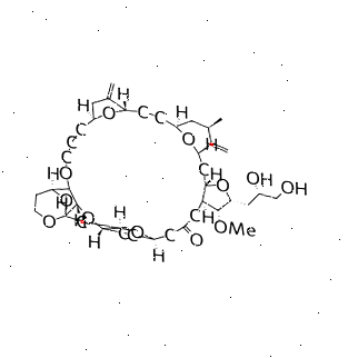 C=C1C[C@@H]2CCCO[C@@H]3[C@@H]4CCOC5(C[C@H]6O[C@H](CC[C@@H]6O[C@@H]35)CC(=O)C[C@@H]3[C@@H](OC)[C@@H](C[C@H](O)CO)O[C@H]3C[C@H]3O[C@@H](CC[C@@H]1O2)C[C@@H](C)C3=C)O4